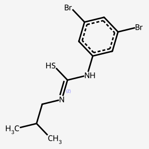 CC(C)C/N=C(\S)Nc1cc(Br)cc(Br)c1